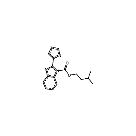 CC(C)CCOC(=O)n1c(-c2cscn2)nc2ccccc21